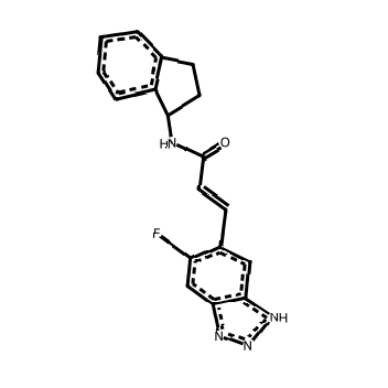 O=C(/C=C/c1cc2[nH]nnc2cc1F)NC1CCc2ccccc21